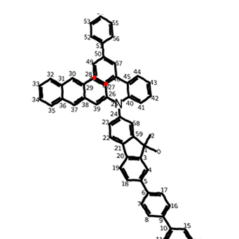 CC1(C)c2cc(-c3ccc(-c4ccccc4)cc3)ccc2-c2ccc(N(c3ccc4cc5ccccc5cc4c3)c3ccccc3-c3cccc(-c4ccccc4)c3)cc21